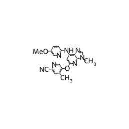 COc1ccc(Nc2cc(Oc3cnc(C#N)cc3C)nc3c2ncn3C)nc1